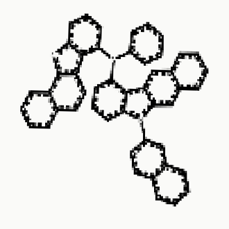 c1ccc(N(c2cccc3oc4c5ccccc5ccc4c23)c2cccc3c2c2cc4ccccc4cc2n3-c2ccc3ccccc3c2)cc1